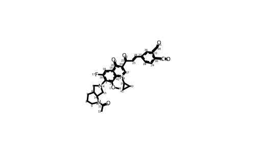 COc1c(N2CC3CCCN(C(C)=O)C3C2)c(F)cc2c(=O)c(C(=O)C=Cc3ccc(=C=O)c(=C=O)c3)cn(C3CC3)c12